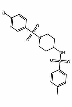 Cc1ccc(S(=O)(=O)NC2CCN(S(=O)(=O)c3ccc(Cl)cc3)CC2)cc1